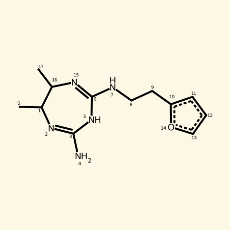 CC1N=C(N)NC(NCCc2ccco2)=NC1C